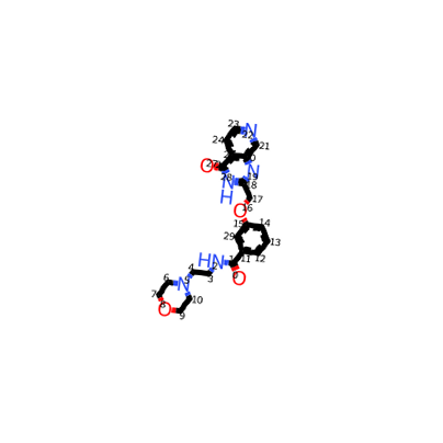 O=C(NCCN1CCOCC1)c1cccc(OCc2nc3cnccc3c(=O)[nH]2)c1